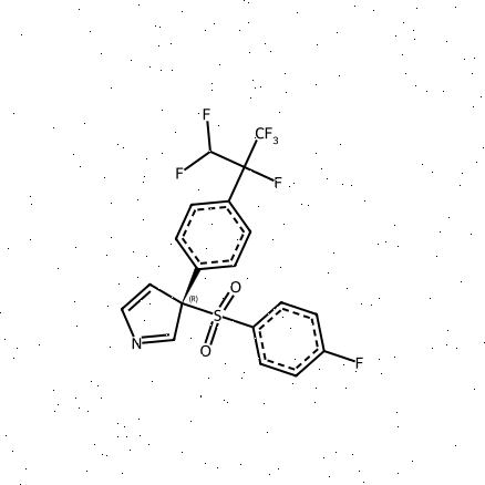 O=S(=O)(c1ccc(F)cc1)[C@@]1(c2ccc(C(F)(C(F)F)C(F)(F)F)cc2)C=CN=C1